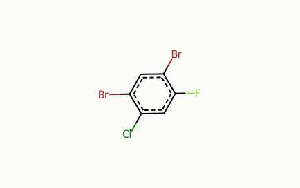 Fc1cc(Cl)c(Br)cc1Br